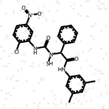 Cc1cc(C)cc(NC(=O)C(c2ccccc2)N(S)C(=O)Nc2cc([N+](=O)[O-])ccc2Cl)c1